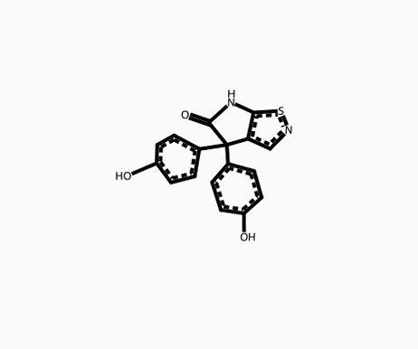 O=C1Nc2sncc2C1(c1ccc(O)cc1)c1ccc(O)cc1